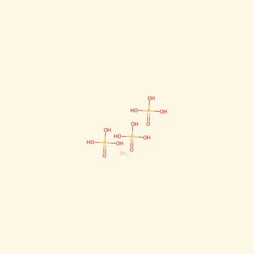 B.O=P(O)(O)O.O=P(O)(O)O.O=P(O)(O)O